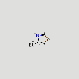 CCC1CS[C]=N1